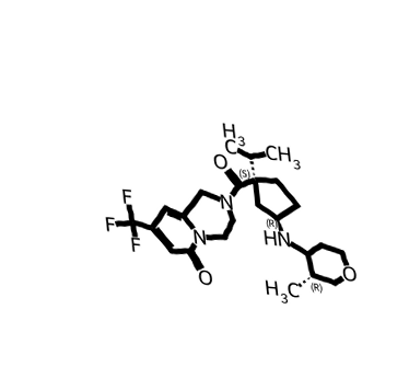 CC(C)[C@]1(C(=O)N2CCn3c(cc(C(F)(F)F)cc3=O)C2)CC[C@@H](NC2CCOC[C@@H]2C)C1